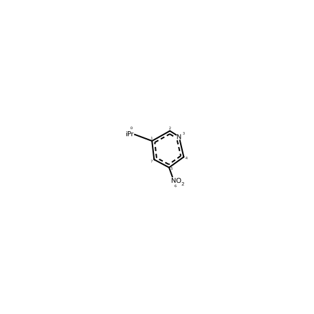 CC(C)c1cncc([N+](=O)[O-])c1